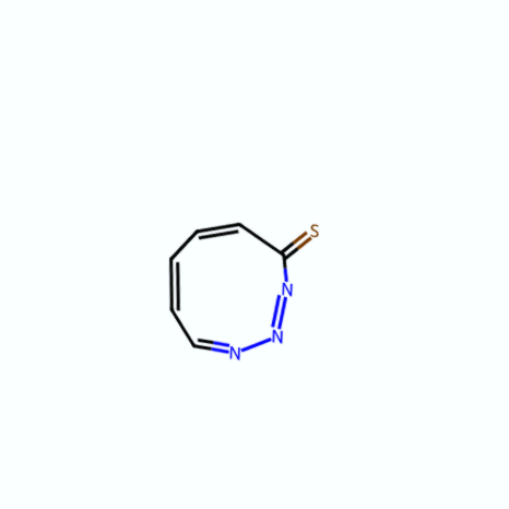 S=C1C=CC=CC=NN=N1